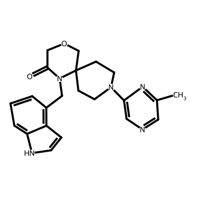 Cc1cncc(N2CCC3(CC2)COCC(=O)N3Cc2cccc3[nH]ccc23)n1